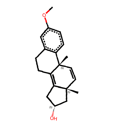 COc1ccc2c(c1)CCC1=C3C[C@@H](O)C[C@@]3(C)C=C[C@]12C